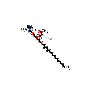 CCCCCCCCCCCCCCCCCCOCC(COCCOCC[N+](C)(C)C)OC(=O)CC(C)=O.[Cl-]